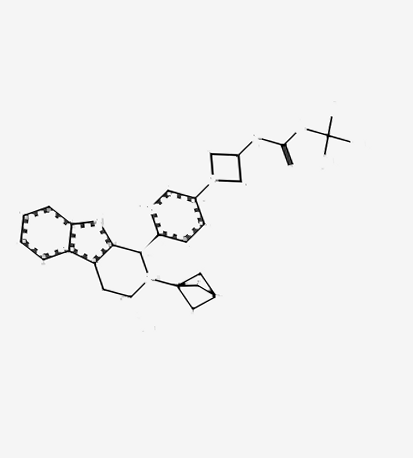 C[C@@H]1Cc2c([nH]c3ccccc23)[C@@H](c2ccc(N3CC(NC(=O)OC(C)(C)C)C3)cn2)N1C12CC(C1)C2